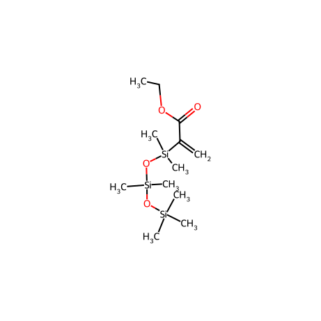 C=C(C(=O)OCC)[Si](C)(C)O[Si](C)(C)O[Si](C)(C)C